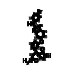 Cn1c(Nc2ccc(Br)cc2)nc2cc(Oc3ccnc(C(CC(N)=O)N4CCNC4=O)c3)ccc21